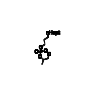 CCCCCCCCCCOP1(=O)OOCC(C)O1